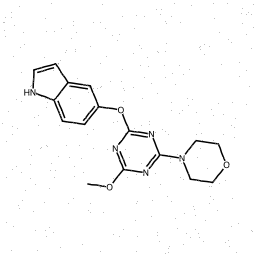 COc1nc(Oc2ccc3[nH]c[c]c3c2)nc(N2CCOCC2)n1